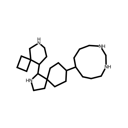 C1CNCNCCCC(C2CCC3(CCNC3C3CCNCC34CCC4)CC2)C1